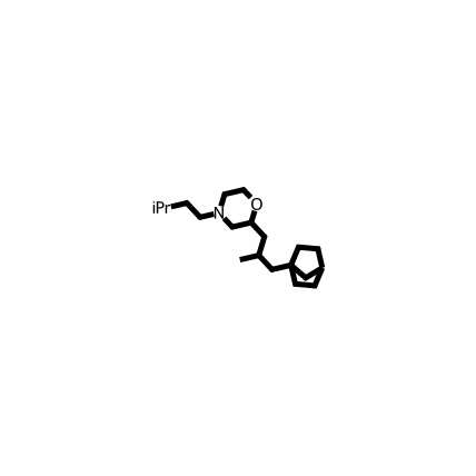 CC(C)CCN1CCOC(CC(C)CC23CCC(CC2)C3)C1